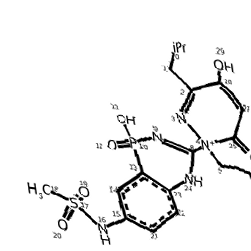 CC(C)CC1=N[N+](CCC(C)(C)C)(C2=NP(=O)(O)c3cc(NS(C)(=O)=O)ccc3N2)C(=O)C=C1O